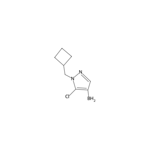 Bc1cnn(CC2CCC2)c1Cl